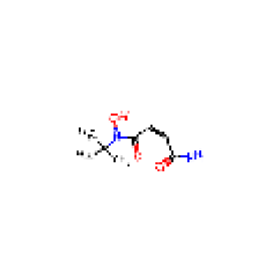 CC(C)(C)N(O)C(=O)/C=C\C(N)=O